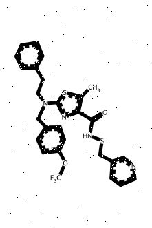 Cc1sc(N(CCc2ccccc2)Cc2ccc(OC(F)(F)F)cc2)nc1C(=O)NSCc1cccnc1